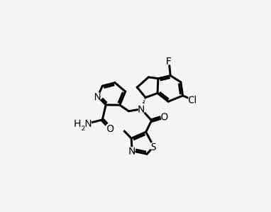 Cc1ncsc1C(=O)N(Cc1cccnc1C(N)=O)[C@@H]1CCc2c(F)cc(Cl)cc21